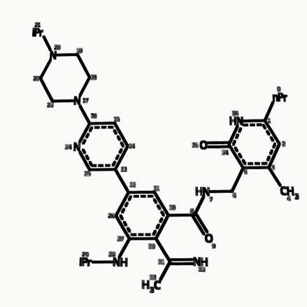 CCCc1cc(C)c(CNC(=O)c2cc(-c3ccc(N4CCN(C(C)C)CC4)nc3)cc(NC(C)C)c2C(C)=N)c(=O)[nH]1